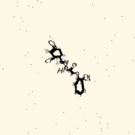 N#Cc1ccccc1OCC(=O)N/N=C/c1ccc(Cl)cc1Cl